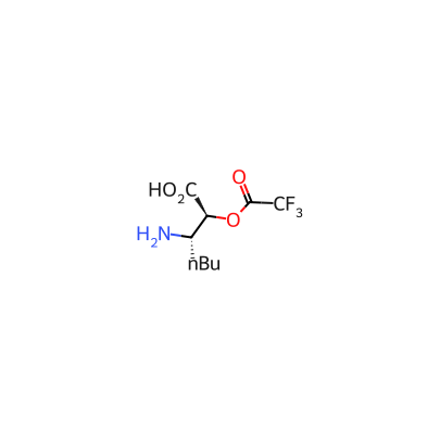 CCCC[C@H](N)[C@H](OC(=O)C(F)(F)F)C(=O)O